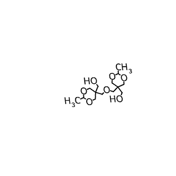 CC1OCC(CO)(COCC2(CO)COC(C)OC2)CO1